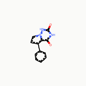 O=c1[nH]c(=O)c2c(-c3ccccc3)ccn2[nH]1